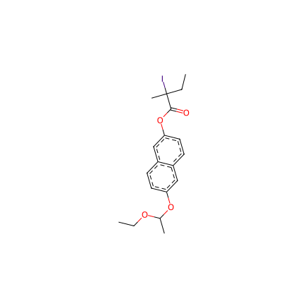 CCOC(C)Oc1ccc2cc(OC(=O)C(C)(I)CC)ccc2c1